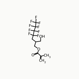 C=C(C)C(=O)OCC(CO)CC(F)(F)C(F)(F)C(F)(F)C(F)(F)F